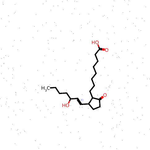 CCCCC(O)/C=C/C1CCC(=O)C1CCCCCCCC(=O)O